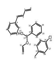 C=CC=Cc1ccccc1.C=COB(O)c1ccccc1.Cc1ccc(Cl)cc1